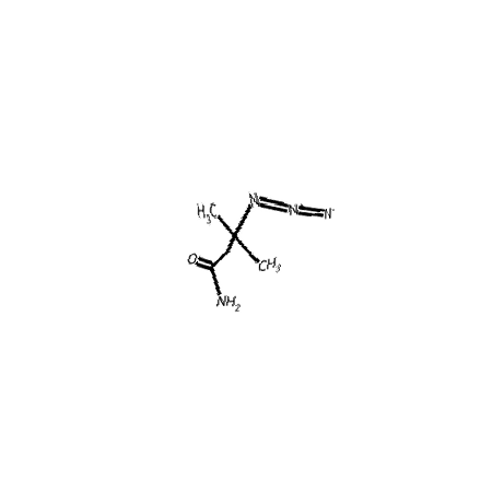 CC(C)(N=[N+]=[N-])C(N)=O